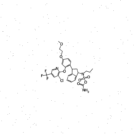 CCCN(C1CC(c2ccc(OCCOC)cc2Oc2ncc(C(F)(F)F)cc2Cl)c2ccccc21)S(=O)(=O)OC(N)=O